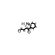 NN1CCCCC1C(=O)CCC=O